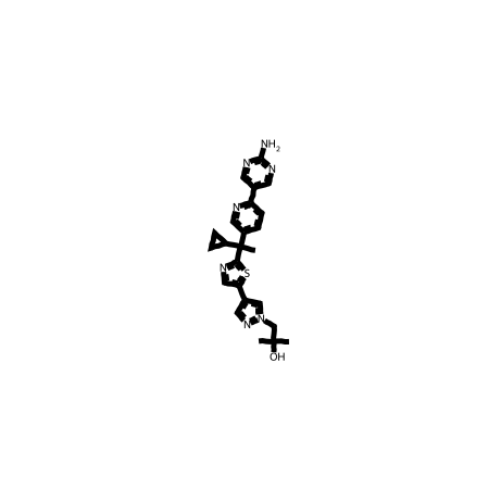 CC(C)(O)Cn1cc(-c2cnc(C(C)(c3ccc(-c4cnc(N)nc4)nc3)C3CC3)s2)cn1